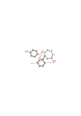 O=S(=O)(c1ccc(Cl)cc1)[C@]1(c2cc(F)ccc2F)CCCCC(O)C1